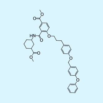 COC(=O)c1ccc(OCCCc2ccc(OCc3ccc(Oc4ccccc4)cc3)cc2)c(C(=O)NC2CCCC(C(=O)OC)C2)c1